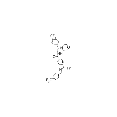 CC(C)C1c2ncc(C(=O)NCC(c3ccc(C(F)(F)F)cc3)N3CCOCC3)cc2CN1Cc1ccc(C(F)(F)F)cc1